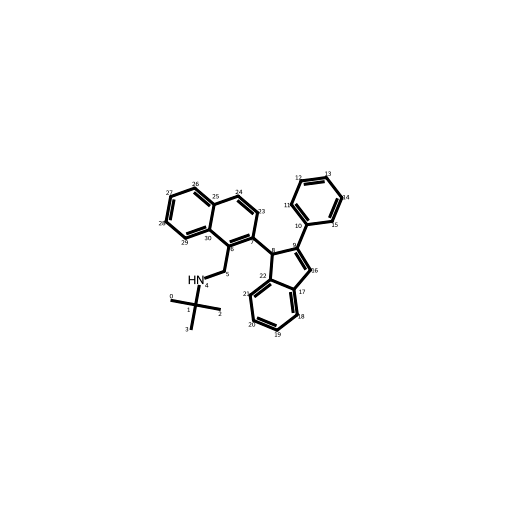 CC(C)(C)NCc1c(C2C(c3ccccc3)=Cc3ccccc32)ccc2ccccc12